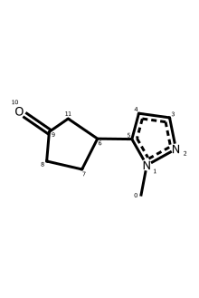 Cn1nccc1C1CCC(=O)C1